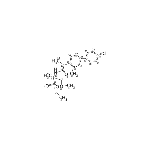 CCOC(=O)C(C)(COC)NC(=O)C(C)c1ccc(-c2ccc(Cl)cc2)cc1C